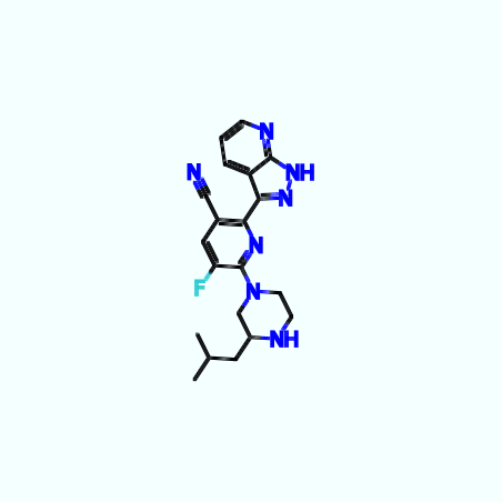 CC(C)CC1CN(c2nc(-c3n[nH]c4ncccc34)c(C#N)cc2F)CCN1